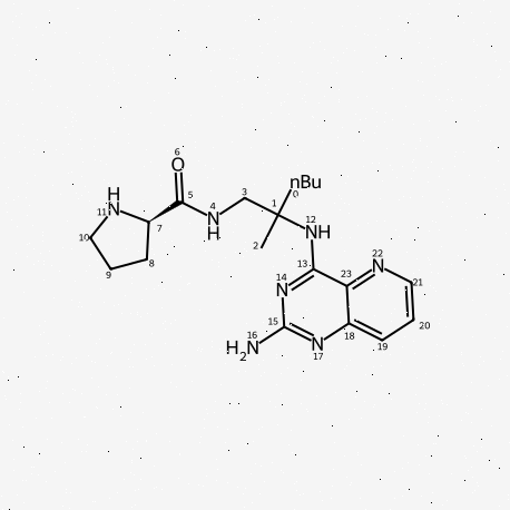 CCCCC(C)(CNC(=O)[C@H]1CCCN1)Nc1nc(N)nc2cccnc12